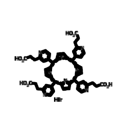 Br.O=C(O)CCc1cc(-c2c3nc(c(-c4ccnc(CCC(=O)O)c4)c4ccc([nH]4)c(-c4ccnc(CCC(=O)O)c4)c4nc(c(-c5ccnc(CCC(=O)O)c5)c5ccc2[nH]5)C=C4)C=C3)ccn1